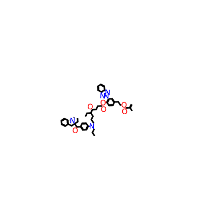 C=C(C)C(=O)OCCc1ccc(OC(=O)CCC(=O)C(CC)CCCN(CCC)c2ccc(C(=O)C(CC)(Cc3ccccc3)N(C)C)cc2)c(-n2nc3ccccc3n2)c1